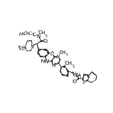 CCN1CCN(C(C(=O)N(C)CCO)c2ccc(Nc3nc(-c4cccc(NC(=O)c5cc6c(s5)CCCC6)c4C)cn(C)c3=O)cc2)CC1